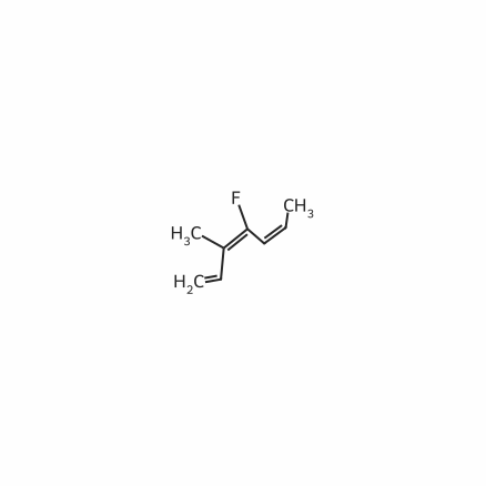 C=C/C(C)=C(F)\C=C/C